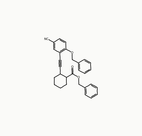 N#Cc1ccc(OCc2ccccc2)c(C#CC2CCCCC2C(=O)OCc2ccccc2)c1